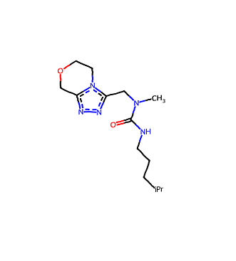 CC(C)CCCNC(=O)N(C)Cc1nnc2n1CCOC2